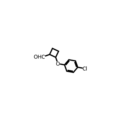 O=CC1CCC1Oc1ccc(Cl)cc1